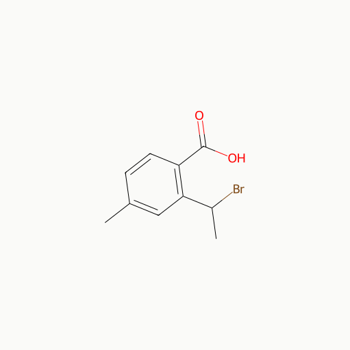 Cc1ccc(C(=O)O)c(C(C)Br)c1